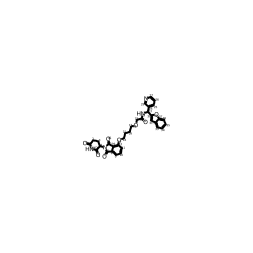 O=C1CCC(N2C(=O)c3cccc(OCCCCOCC(=O)NC(c4cccnc4)c4cc5ccccc5o4)c3C2=O)C(=O)N1